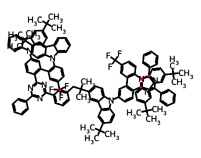 CC(C)(C)c1ccc2c(c1)c1ccccc1n2-c1ccc(-c2nc(-c3ccccc3)nc(-c3cccc(CC(C)(C)c4ccc5c(c4)c4cc(C(C)(C)C)ccc4n5-c4ccc(-c5nc(-c6ccccc6)nc(-c6ccccc6)n5)c(-c5cc(C(F)(F)F)ccc5-n5c6ccc(C(C)(C)C)cc6c6cc(C(C)(C)C)ccc65)c4)c3)n2)c(-c2cc(C(F)(F)F)ccc2-n2c3ccccc3c3cc(C(C)(C)C)ccc32)c1